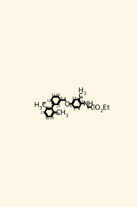 CCOC(=O)CNc1ccc(OCc2cccc(-c3c(C)cccc3C)c2)cc1C